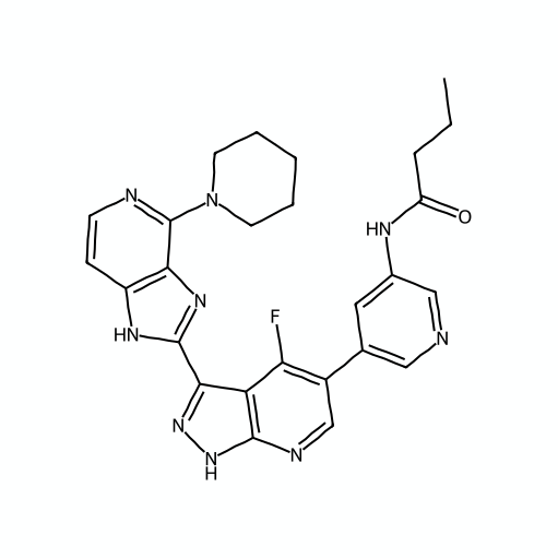 CCCC(=O)Nc1cncc(-c2cnc3[nH]nc(-c4nc5c(N6CCCCC6)nccc5[nH]4)c3c2F)c1